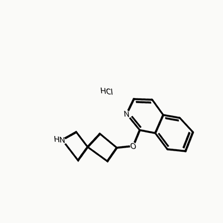 Cl.c1ccc2c(OC3CC4(CNC4)C3)nccc2c1